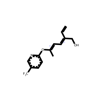 C=C/C(=C\C=C(/C)Oc1ccc(C(F)(F)F)cn1)CO